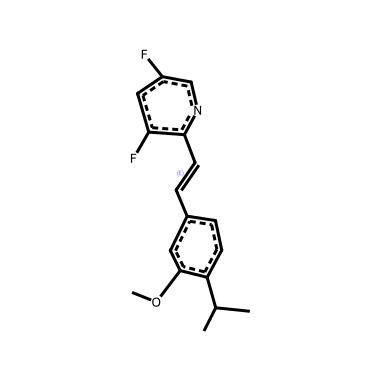 COc1cc(/C=C/c2ncc(F)cc2F)ccc1C(C)C